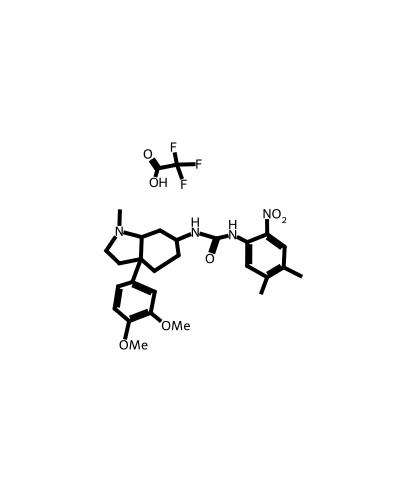 COc1ccc(C23CCC(NC(=O)Nc4cc(C)c(C)cc4[N+](=O)[O-])CC2N(C)CC3)cc1OC.O=C(O)C(F)(F)F